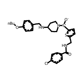 CCCCOc1ccc(CNC2CCN([S+]([O-])c3ccc(CNC(=O)c4ccc(Cl)cc4)s3)CC2)cc1